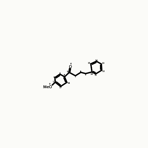 COc1ccc(C(=O)CCCc2ccccc2)cc1